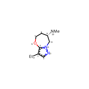 CCc1cnn2c1OCC[C@H](NC)C2